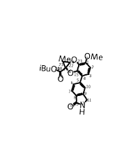 COc1ccc(-c2ccc3c(c2)CNC3=O)c(OC2(C(=O)OCC(C)C)CC2)c1OC